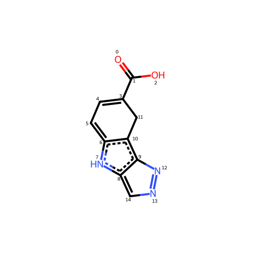 O=C(O)C1=CC=c2[nH]c3c(c2C1)N=NC=3